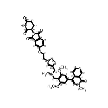 COc1cc(-c2cn(C)c(=O)c3cnccc23)cc(OC)c1CN(C)Cc1cn(CCOc2ccc3c(c2)C(=O)N(C2CCC(=O)NC2=O)C3=O)nn1